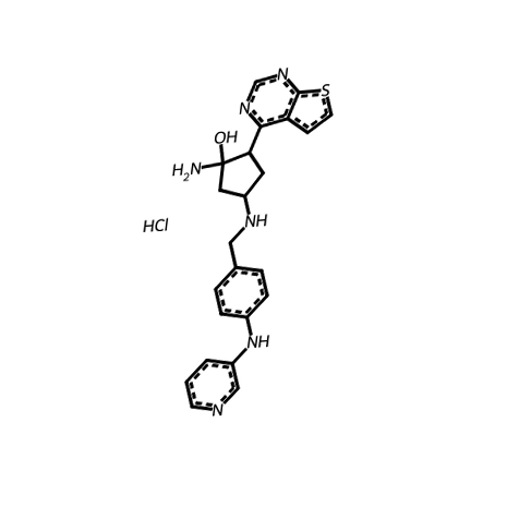 Cl.NC1(O)CC(NCc2ccc(Nc3cccnc3)cc2)CC1c1ncnc2sccc12